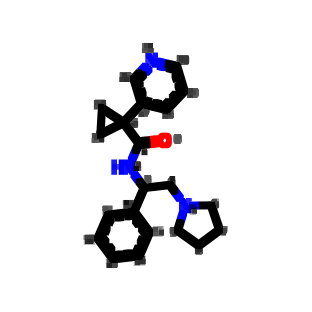 O=C(NC(CN1CCCC1)c1ccccc1)C1(c2cccnc2)CC1